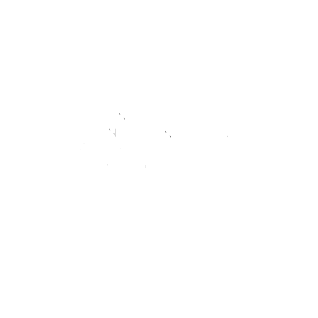 Cc1ccc(F)cc1OC1CCN(c2cnn(C3CCCCO3)c(=O)c2Cl)CC1